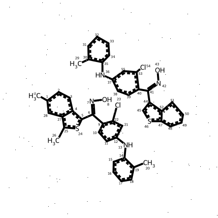 Cc1ccc2c(C(=NO)c3ccc(Nc4ccccc4C)cc3Cl)sc(C)c2c1.Cc1ccccc1Nc1ccc(C(=NO)c2csc3ccccc23)c(Cl)c1